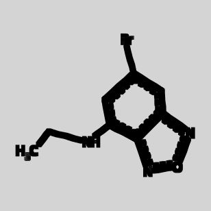 CCNc1cc(Br)cc2nonc12